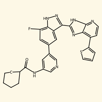 O=C(Nc1cncc(-c2cc(F)c3[nH]nc(-c4nc5c(-c6cccs6)ccnc5[nH]4)c3c2)c1)C1CCCCC1